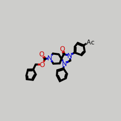 CC(=O)c1ccc(N2CN(c3ccccc3)C3(CCN(C(=O)OCc4ccccc4)CC3)C2=O)cc1